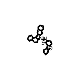 c1ccc2cc3c(cc2c1)c1c2ccccc2ccc1n3-c1nc2ccc3oc4ccccc4c3c2s1